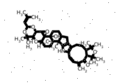 C=C1/C=C\c2[nH]c3c(c2CCC2C(C1=O)C(C)(C)OC2(C)C)CC1CC[C@]2(O)[C@](C)(CC[C@@H]4O[C@H]5C(OC(C=C(C)C)OC5(C)C)C5O[C@]542)[C@@]31C